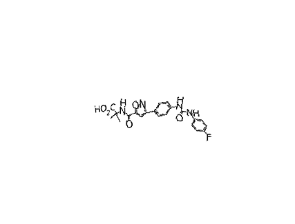 CC(C)(NC(=O)c1cc(-c2ccc(NC(=O)Nc3ccc(F)cc3)cc2)no1)C(=O)O